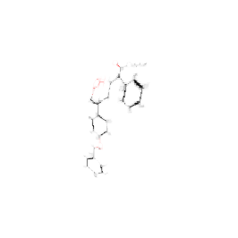 COC(=O)C(CCC(CO)c1ccc(OCc2ccccc2)cc1)c1ccccc1